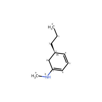 CCC[C@H]1C=CC=C(NC)C1